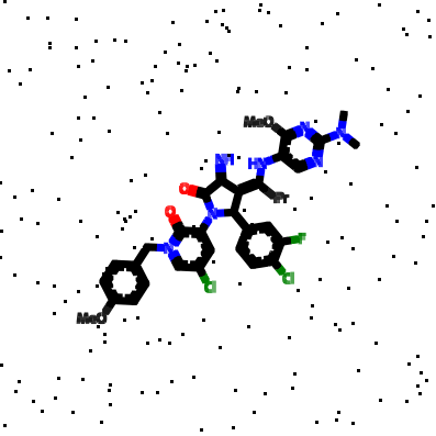 COc1ccc(Cn2cc(Cl)cc(N3C(=O)C(=N)/C(=C(\Nc4cnc(N(C)C)nc4OC)C(C)C)C3c3ccc(Cl)c(F)c3)c2=O)cc1